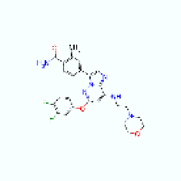 Cc1cc(-c2cnc3c(NCCN4CCOCC4)cc(Oc4ccc(F)c(F)c4)nn23)ccc1C(N)=O